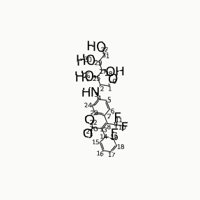 O=C[C@H](Nc1ccc2c(C(F)(F)F)c(C3C=CC=CC3)c(=O)oc2c1)[C@@H](O)[C@H](O)[C@H](O)CO